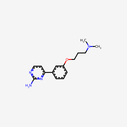 CN(C)CCCOc1cccc(-c2ccnc(N)n2)c1